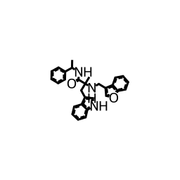 CC(NC(=O)C(C)(Cc1c[nH]c2ccccc12)NCc1coc2ccccc12)c1ccccc1